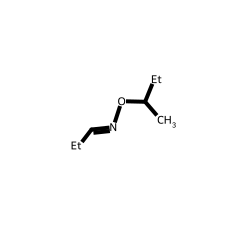 [CH2]CC=NOC(C)CC